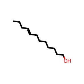 CCCC=CCCCCCCCO